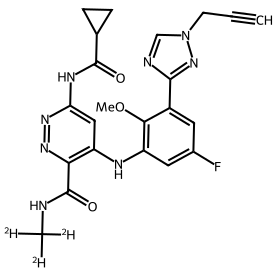 [2H]C([2H])([2H])NC(=O)c1nnc(NC(=O)C2CC2)cc1Nc1cc(F)cc(-c2ncn(CC#C)n2)c1OC